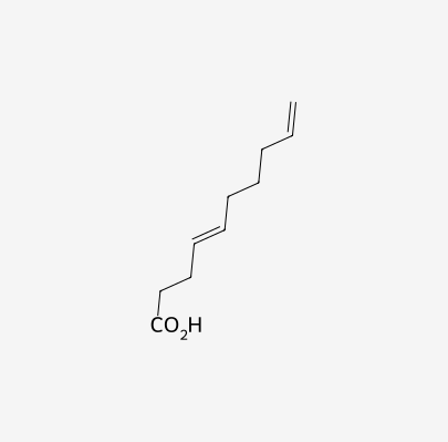 C=CCCC/C=C/CCC(=O)O